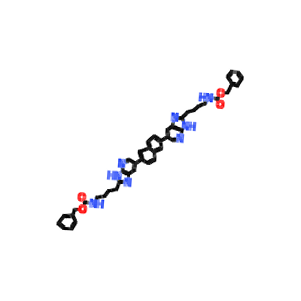 O=C(NCCCCc1nc2cc(-c3ccc4cc(-c5cnc6[nH]c(CCCCNC(=O)OCc7ccccc7)nc6c5)ccc4c3)cnc2[nH]1)OCc1ccccc1